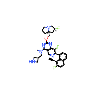 C#Cc1c(F)ccc2cccc(-c3ncc4c(N(C)CC5CNC5)nc(OC[C@@]56CCCN5C[C@H](F)C6)nc4c3F)c12